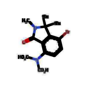 CN1C(=O)c2c(N(C(=O)O)C(=O)O)ccc(Br)c2C1(C(C)(C)C)C(C)(C)C